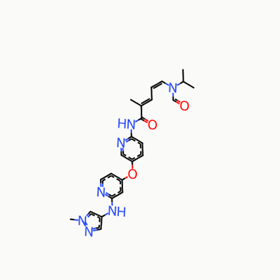 C/C(=C\C=C/N(C=O)C(C)C)C(=O)Nc1ccc(Oc2ccnc(Nc3cnn(C)c3)c2)cn1